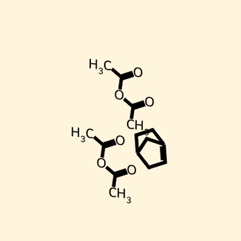 C1=C2CCC(C1)C2.CC(=O)OC(C)=O.CC(=O)OC(C)=O